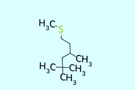 CSCCC(C)CC(C)(C)C